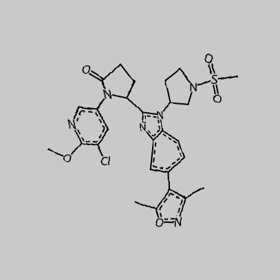 COc1ncc(N2C(=O)CCC2c2nc3cc(-c4c(C)noc4C)ccc3n2C2CCN(S(C)(=O)=O)C2)cc1Cl